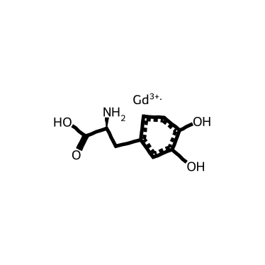 N[C@@H](Cc1ccc(O)c(O)c1)C(=O)O.[Gd+3]